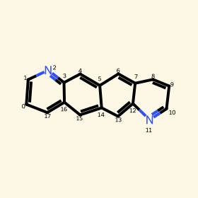 c1cnc2cc3cc4cccnc4cc3cc2c1